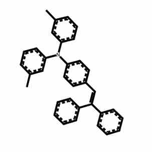 Cc1cccc(N(c2ccc(C=C(c3ccccc3)c3ccccc3)cc2)c2cccc(C)c2)c1